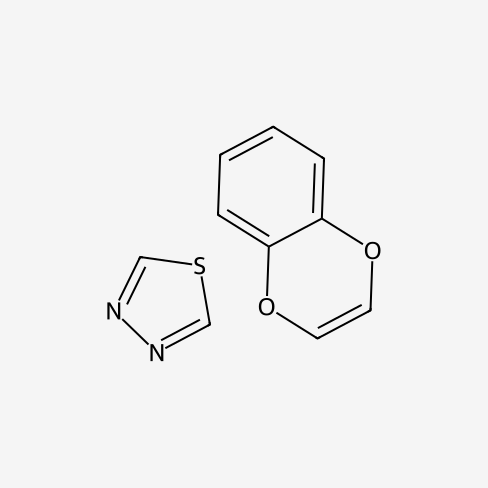 C1=COc2ccccc2O1.c1nncs1